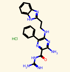 Cl.N=C(N)NC(=O)c1nc(-c2ccccc2)c(NCCc2nc3ccccc3[nH]2)nc1N